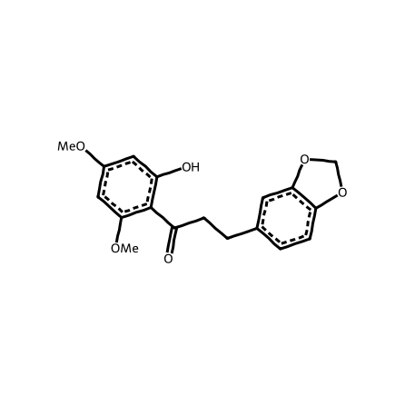 COc1cc(O)c(C(=O)CCc2ccc3c(c2)OCO3)c(OC)c1